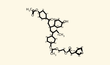 CCC(CC(CC(C)C1CCC(OC(C)=O)CC1)C1CCC(O)CC1)C1CCC(OC(C)OCCOC(=O)Cc2ccsc2)CC1